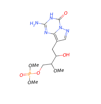 COC(COP(=O)(OC)OC)C(O)Cc1cnn2c(=O)[nH]c(N)nc12